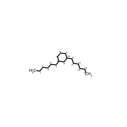 CCCCCCC1CCCC(CCCCCC)C1